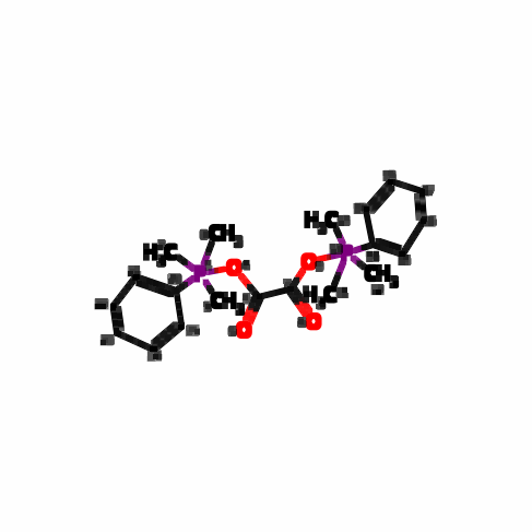 CP(C)(C)(OC(=O)C(=O)OP(C)(C)(C)c1ccccc1)c1ccccc1